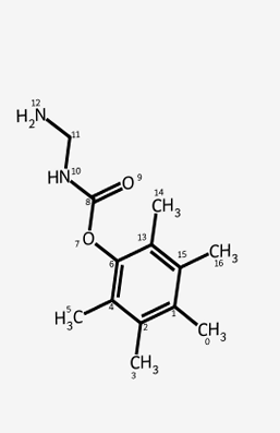 Cc1c(C)c(C)c(OC(=O)NCN)c(C)c1C